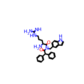 N=C(N)NCCCC(N)C(=O)N(Cc1ccc2[nH]ccc2c1)C(=O)C(c1ccccc1)c1ccccc1